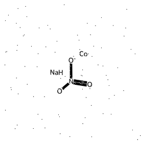 O=[N+]([O-])[O-].[Co].[NaH]